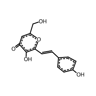 O=c1cc(CO)oc(C=Cc2ccc(O)cc2)c1O